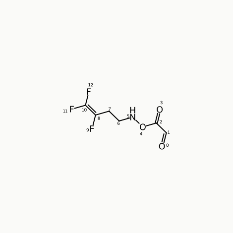 O=CC(=O)ONCCC(F)=C(F)F